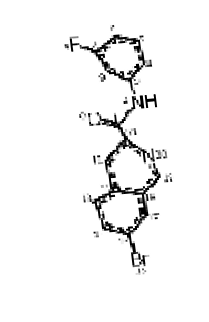 O=C(Nc1cccc(F)c1)c1cc2ccc(Br)cc2cn1